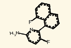 Nc1ccc(F)c(-c2cccc3cccc(F)c23)n1